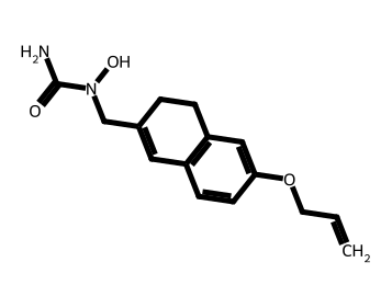 C=CCOc1ccc2c(c1)CCC(CN(O)C(N)=O)=C2